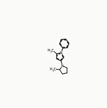 Cc1cc(N2CCCC2C)cn1-c1ccccc1